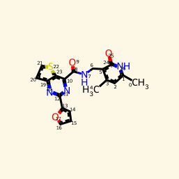 Cc1cc(C)c(CNC(=O)c2nc(-c3ccco3)nc3ccsc23)c(=O)[nH]1